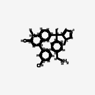 CC1C=NC=C1C(C)(c1ccc(CN)cc1)c1ccc2c(c1)c(-c1cccc(Cl)c1)cc(=O)n2C